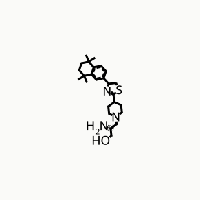 CC1(C)CCC(C)(C)c2cc(C3CSC(C4CCN(C[C@@H](N)CO)CC4)=N3)ccc21